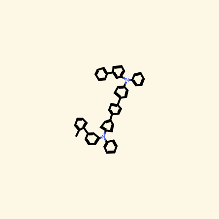 Cc1ccccc1-c1cccc(N(c2ccccc2)c2ccc(-c3ccc(-c4ccc(N(c5ccccc5)c5cccc(-c6ccccc6)c5)cc4)cc3)cc2)c1